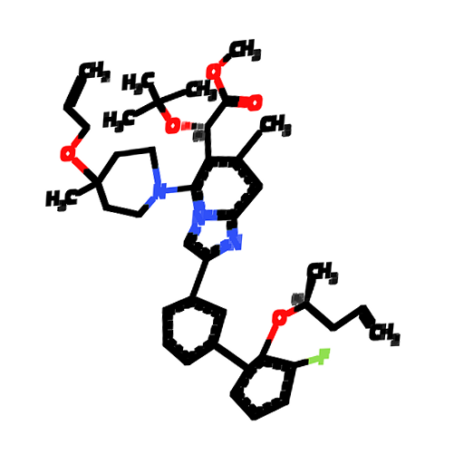 C=CCOC1(C)CCN(c2c([C@H](OC(C)(C)C)C(=O)OC)c(C)cc3nc(-c4cccc(-c5cccc(F)c5O[C@@H](C)CC=C)c4)cn23)CC1